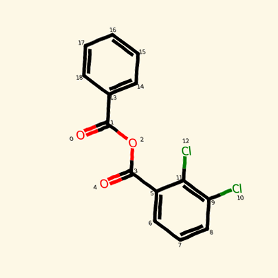 O=C(OC(=O)c1cccc(Cl)c1Cl)c1ccccc1